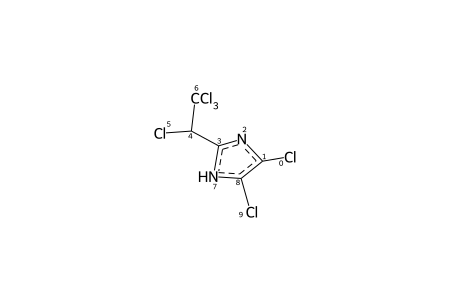 Clc1nc(C(Cl)C(Cl)(Cl)Cl)[nH]c1Cl